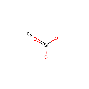 [Cs+].[O]=[Bi](=[O])[O-]